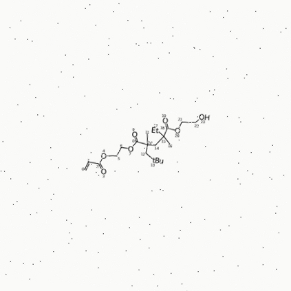 C=CC(=O)OCCOC(=O)C(C)(CC(C)(C)C)CC(C)(CC)C(=O)OCCO